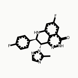 Cc1ncnn1[C@H]1c2n[nH]c(=O)c3cc(F)cc(c23)N[C@@H]1c1ccc(F)cc1